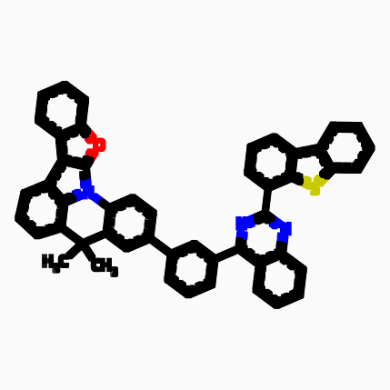 CC1(C)c2cc(-c3cccc(-c4nc(-c5cccc6c5sc5ccccc56)nc5ccccc45)c3)ccc2-n2c3oc4ccccc4c3c3cccc1c32